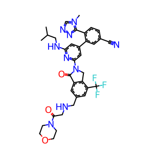 CC(C)CNc1cc(-c2cc(C#N)ccc2-c2nncn2C)cc(N2Cc3c(cc(CNCC(=O)N4CCOCC4)cc3C(F)(F)F)C2=O)n1